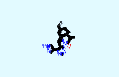 CC(C)Cc1ccc(C(C)C(=O)n2ccc3c(-c4cn[nH]c4)ncnc32)cc1